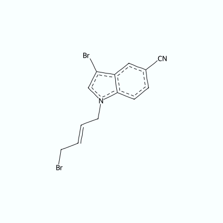 N#Cc1ccc2c(c1)c(Br)cn2CC=CCBr